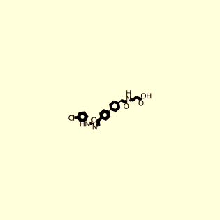 O=C(O)CCNC(=O)C[C@H]1CC[C@H](c2ccc(-c3cnc(Nc4cccc(Cl)c4)o3)cc2)CC1